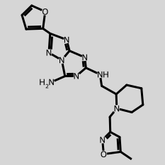 Cc1cc(CN2CCCCC2CNc2nc(N)n3nc(-c4ccco4)nc3n2)no1